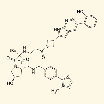 Cc1ncsc1-c1ccc(CNC(=O)[C@@H]2C[C@@H](O)CN2C(=O)[C@](C)(NCCC(=O)N2CC(c3cc4cc(-c5ccccc5O)nnc4[nH]3)C2)C(C)(C)C)cc1